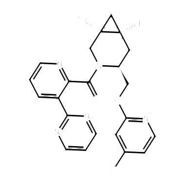 O=C(c1ncccc1-c1ncccn1)N1C[C@H]2C[C@H]2C[C@H]1COc1cc(Cl)ccn1